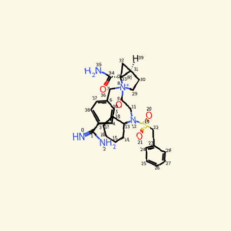 N=C(N)c1ccc(C[N+]2(C(=O)CN(C3CCCCC3)S(=O)(=O)Cc3ccccc3)CC[C@@H]3C[C@@]32C(N)=O)cc1